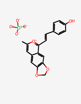 Cc1cc2cc3c(cc2c(/C=C/c2ccc(O)cc2)[o+]1)OCO3.[O-][Cl+3]([O-])([O-])[O-]